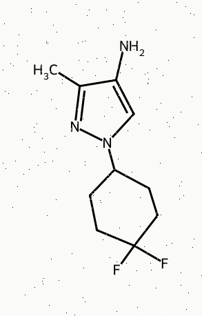 Cc1nn(C2CCC(F)(F)CC2)cc1N